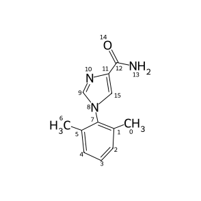 Cc1cccc(C)c1-n1cnc(C(N)=O)c1